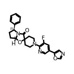 O=C1N2[C@@H](CC[C@H]2c2ccccc2)OC12CCN(c1ncc(-c3cnco3)cc1F)CC2